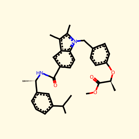 COC(=O)[C@H](C)Oc1ccc(Cn2c(C)c(C)c3cc(C(=O)N[C@@H](C)c4cccc(C(C)C)c4)ccc32)cc1